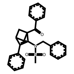 CS(=O)(=O)N(Cc1ccccc1)C1=C(c2ccccc2)C2CC1(C(=O)c1ccccc1)C2